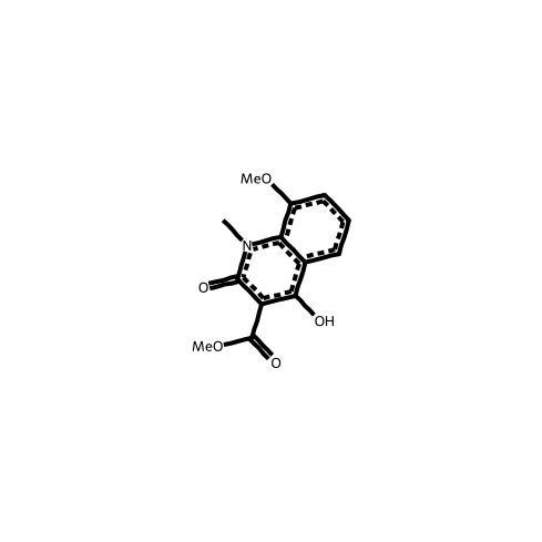 COC(=O)c1c(O)c2cccc(OC)c2n(C)c1=O